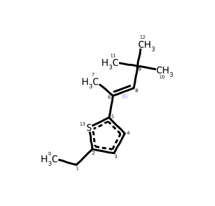 CCc1ccc(/C(C)=C/C(C)(C)C)s1